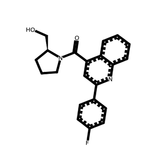 O=C(c1cc(-c2ccc(F)cc2)nc2ccccc12)N1CCC[C@H]1CO